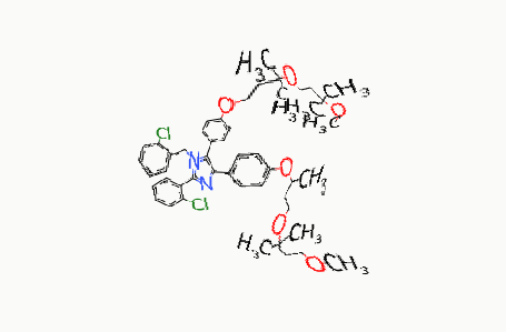 COCCC(C)(C)OCCC(C)Oc1ccc(-c2nc(-c3ccccc3Cl)n(Cc3ccccc3Cl)c2-c2ccc(OCCC(C)(C)OCCC(C)(C)OC)cc2)cc1